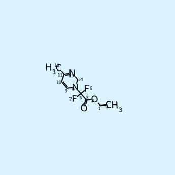 CCOC(=O)C(F)(F)N1C=CC(C)=NC1